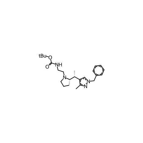 Cc1nn(Cc2ccccc2)cc1[C@@H](C)[C@@H]1CCCN1CCNC(=O)OC(C)(C)C